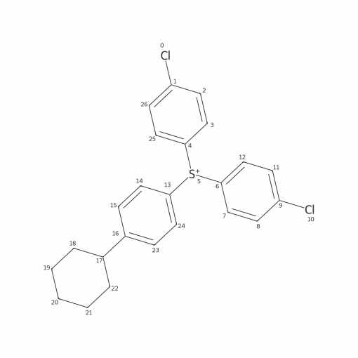 Clc1ccc([S+](c2ccc(Cl)cc2)c2ccc(C3CCCCC3)cc2)cc1